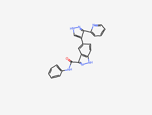 O=C(Nc1ccccc1)c1n[nH]c2ccc(-c3c[nH]nc3-c3ccccn3)cc12